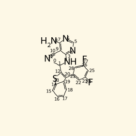 CC(Nc1ncnc(N)c1C#N)c1sc2ccccc2c1-c1cc(F)cc(F)c1